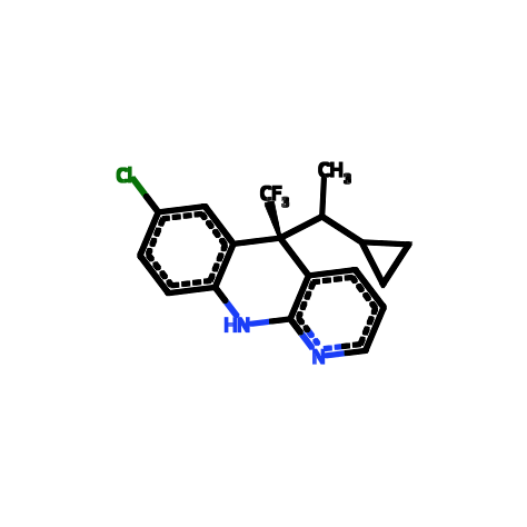 CC(C1CC1)[C@@]1(C(F)(F)F)c2cc(Cl)ccc2Nc2ncccc21